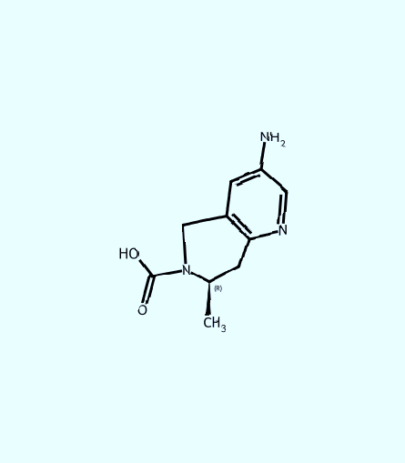 C[C@@H]1Cc2ncc(N)cc2CN1C(=O)O